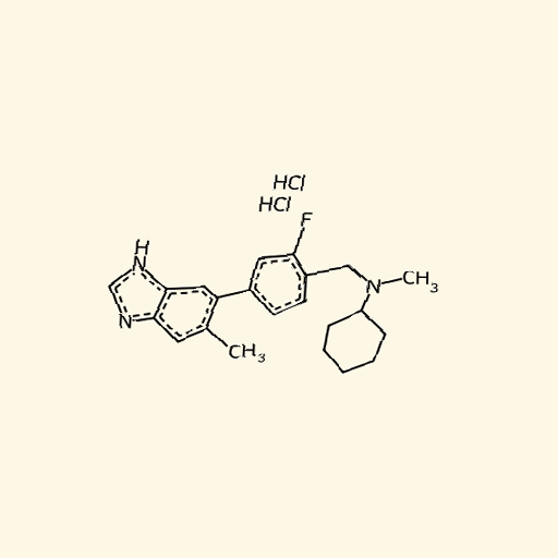 Cc1cc2nc[nH]c2cc1-c1ccc(CN(C)C2CCCCC2)c(F)c1.Cl.Cl